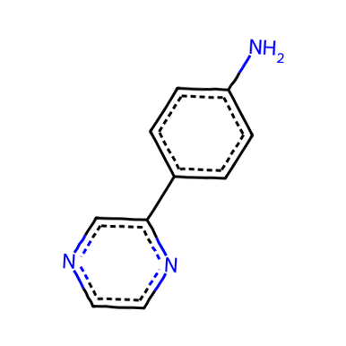 Nc1ccc(-c2cnccn2)cc1